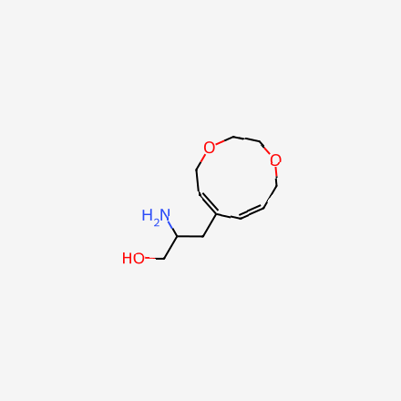 NC(CO)CC1=C/COCCOC/C=C\1